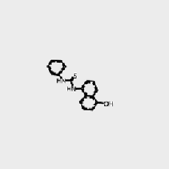 Oc1cccc2c(NC(=S)Nc3ccccc3)cccc12